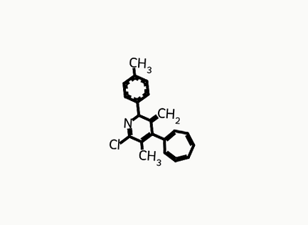 C=C1C(C2=CC=CC=C=C2)=C(C)C(Cl)=NC1c1ccc(C)cc1